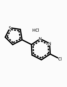 Cl.Clc1ccc(-c2ccsc2)nn1